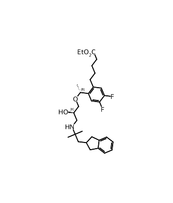 CCOC(=O)CCCCc1cc(F)c(F)cc1[C@@H](C)OC[C@H](O)CNC(C)(C)CC1Cc2ccccc2C1